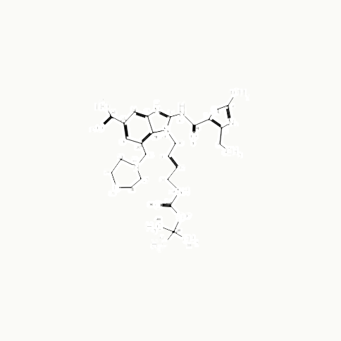 CCc1nc(C)sc1C(=O)Nc1nc2cc(C(=O)O)cc(CN3CCOCC3)c2n1C/C=C/CNC(=O)OC(C)(C)C